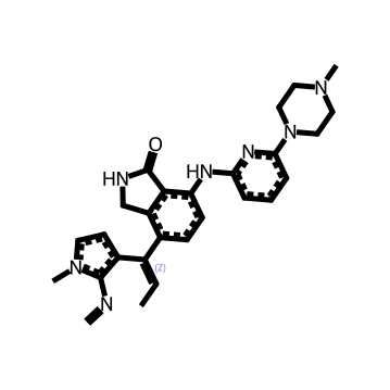 C=Nc1c(/C(=C\C)c2ccc(Nc3cccc(N4CCN(C)CC4)n3)c3c2CNC3=O)ccn1C